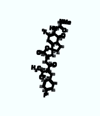 CNC(=O)NC1=C(F)C=C2C(CCC23CN(CC(=O)N(Cc2ccc(F)cc2)C(C)C(F)(F)F)C(=O)O3)C1=O